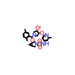 COC1CN(C(=O)c2cc(C)ccc2C)CC1Oc1cc(NS(=O)(=O)N2CC3CC3C2)cc(C)n1